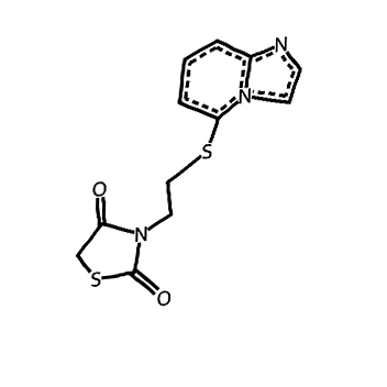 O=C1CSC(=O)N1CCSc1cccc2nccn12